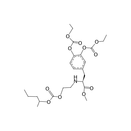 CCCC(C)OC(=O)OCCN[C@@H](Cc1ccc(OC(=O)OCC)c(OC(=O)OCC)c1)C(=O)OC